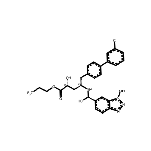 O=C(OCCC(F)(F)F)[C@H](O)C[C@@H](Cc1ccc(-c2cccc(Cl)c2)cc1)NC(O)c1ccc2nnn(O)c2c1